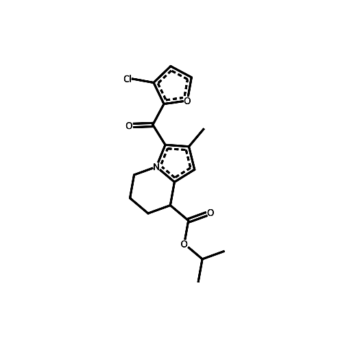 Cc1cc2n(c1C(=O)c1occc1Cl)CCCC2C(=O)OC(C)C